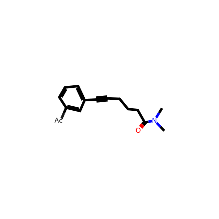 CC(=O)c1cccc(C#CCCCC(=O)N(C)C)c1